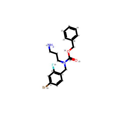 NCCCN(Cc1ccc(Br)cc1F)C(=O)OCc1ccccc1